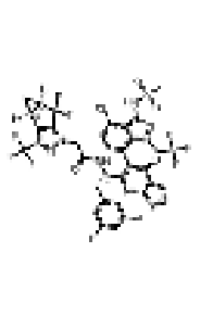 CS(=O)(=O)Nc1nn(CC(F)(F)F)c2c(-n3c([C@H](Cc4cc(F)cc(F)c4)NC(=O)Cn4nc(C(F)(F)F)c5c4C(F)(F)[C@@H]4C[C@H]54)nc4sccc4c3=O)ccc(Cl)c12